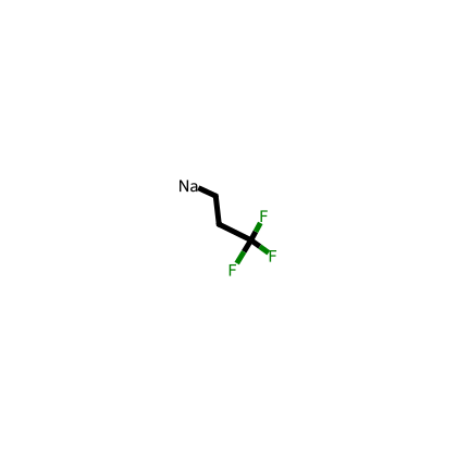 FC(F)(F)C[CH2][Na]